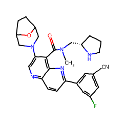 CN(C[C@@H]1CCCN1)C(=O)c1c(N2CC3CCC(C2)O3)cnc2ccc(-c3cc(F)cc(C#N)c3)nc12